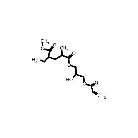 C=CC(=O)OCC(O)COC(=O)C(C)CC(CC)C(=O)OC